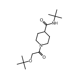 CC(C)(C)NC(=O)C1CCN(C(=O)COC(C)(C)C)CC1